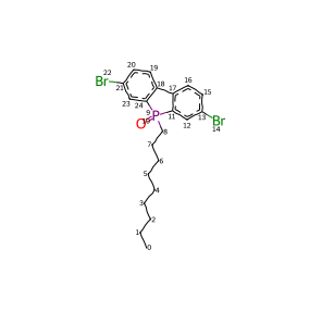 CCCCCCCCCP1(=O)c2cc(Br)ccc2-c2ccc(Br)cc21